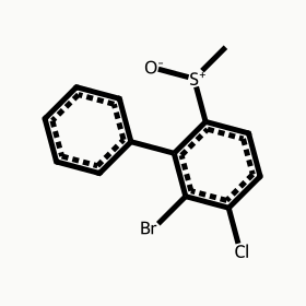 C[S+]([O-])c1ccc(Cl)c(Br)c1-c1ccccc1